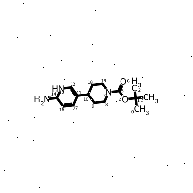 CC(C)(C)OC(=O)N1CCC(C2=CNC(N)C=C2)CC1